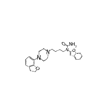 NC(=O)N(CCCCN1CCN(c2cccc3c2OCC3)CC1)c1cc2ccccc2o1